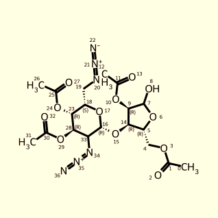 CC(=O)OC[C@H]1OC(O)[C@H](OC(C)=O)[C@@H]1O[C@H]1O[C@@H](CN=[N+]=[N-])[C@@H](OC(C)=O)[C@H](OC(C)=O)C1N=[N+]=[N-]